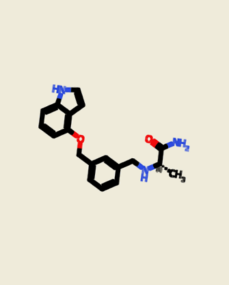 C[C@H](NCc1cccc(COc2cccc3[nH]ccc23)c1)C(N)=O